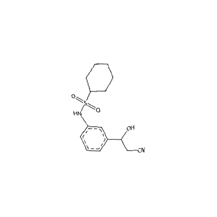 N#CCC(O)c1cccc(NS(=O)(=O)C2CCCCC2)c1